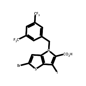 O=C(O)c1c(I)c2sc(Br)cc2n1Cc1cc(C(F)(F)F)cc(C(F)(F)F)c1